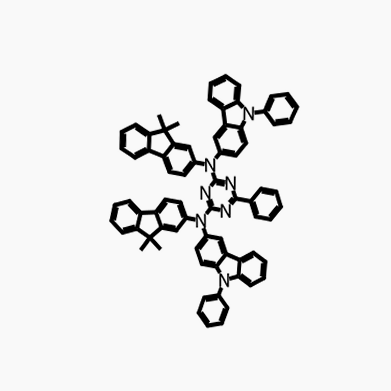 CC1(C)c2ccccc2-c2ccc(N(c3ccc4c(c3)c3ccccc3n4-c3ccccc3)c3nc(-c4ccccc4)nc(N(c4ccc5c(c4)C(C)(C)c4ccccc4-5)c4ccc5c(c4)c4ccccc4n5-c4ccccc4)n3)cc21